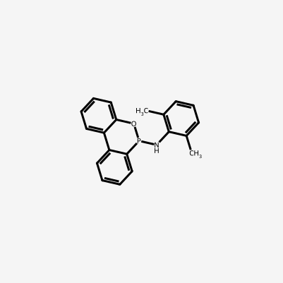 Cc1cccc(C)c1NP1Oc2ccccc2-c2ccccc21